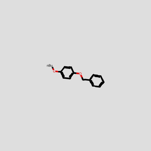 CCCCOc1ccc(O[CH]c2ccccc2)cc1